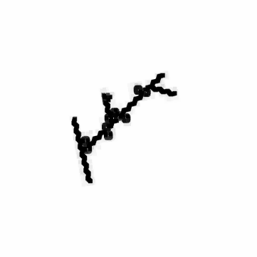 CCCCCCCCC(CCCCCCCC)OC(=O)CCCCC(=O)OCC(COC(=O)CCCCCCC(=O)OCC(CCCC)CCCCCC)OC(=O)CCCN(C)C